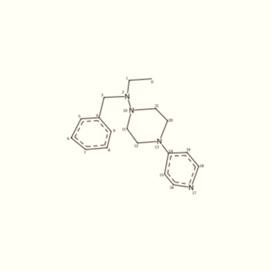 CCN(Cc1ccccc1)N1CCN(c2ccncc2)CC1